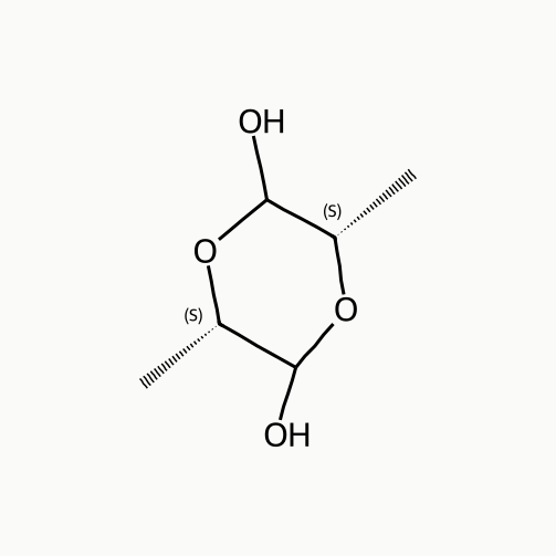 C[C@@H]1OC(O)[C@H](C)OC1O